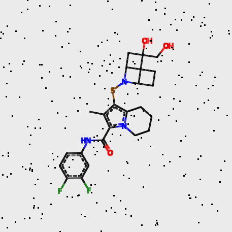 Cc1c(SN2C3CCC34C2CC4(O)CO)c2n(c1C(=O)Nc1ccc(F)c(F)c1)CCCC2